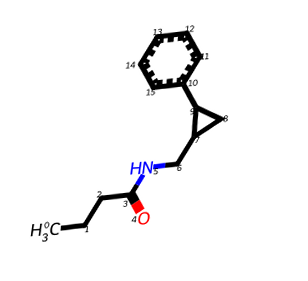 CCCC(=O)NCC1CC1c1ccccc1